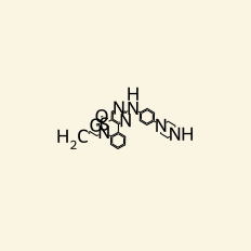 C=CCN1c2ccccc2-c2nc(Nc3ccc(N4CCNCC4)cc3)ncc2S1(=O)=O